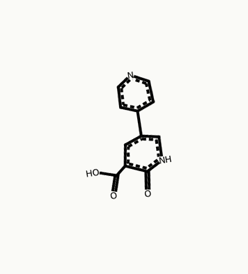 O=C(O)c1cc(-c2ccncc2)c[nH]c1=O